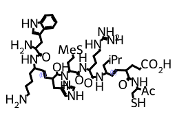 CSCCC(NC(O)C(/C=C/C(CCCCN)NC(=O)C(N)Cc1c[nH]c2ccccc12)Cc1c[nH]cn1)C(=O)NC(CCCNC(=N)N)C(=O)NC(/C=C/C(CCC(=O)O)C(=O)NC(CS)C(C)=O)CC(C)C